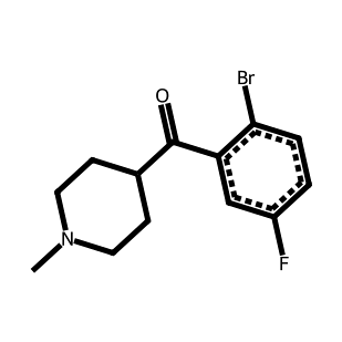 CN1CCC(C(=O)c2cc(F)ccc2Br)CC1